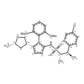 COc1cccc(OC)c1-n1c(NS(=O)(=O)[C@@H](C)[C@H](C)c2ncc(Cl)cn2)nnc1[C@H]1CO[C@@H](C)C1